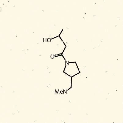 CNCC1CCN(C(=O)CC(C)O)C1